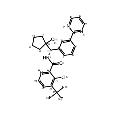 O=C(N[C@@H](c1cccc(-c2ncccn2)c1)C1(O)CCCC1)c1nccc(C(F)(F)F)c1Cl